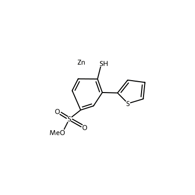 COS(=O)(=O)c1ccc(S)c(-c2cccs2)c1.[Zn]